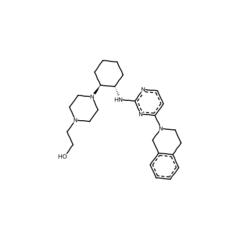 OCCN1CCN([C@H]2CCCC[C@@H]2Nc2nccc(N3CCc4ccccc4C3)n2)CC1